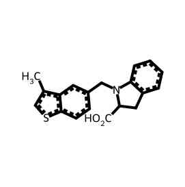 Cc1csc2ccc(CN3c4ccccc4CC3C(=O)O)cc12